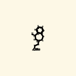 COCCN1CCc2ccccc2[C@H](C)C1